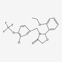 CCOc1ccccc1C1OCC(=O)N1Cc1ccc(OC(F)(F)F)c(Cl)c1